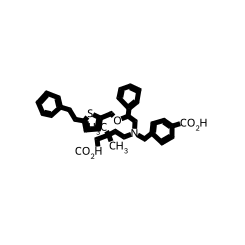 CC(C)(CCN(Cc1ccc(C(=O)O)cc1)CC(OCc1ccc(CCc2ccccc2)s1)c1ccccc1)CC(=O)O